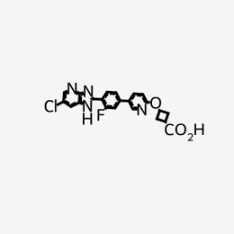 O=C(O)[C@H]1C[C@@H](Oc2ccc(-c3ccc(-c4nc5ncc(Cl)cc5[nH]4)c(F)c3)cn2)C1